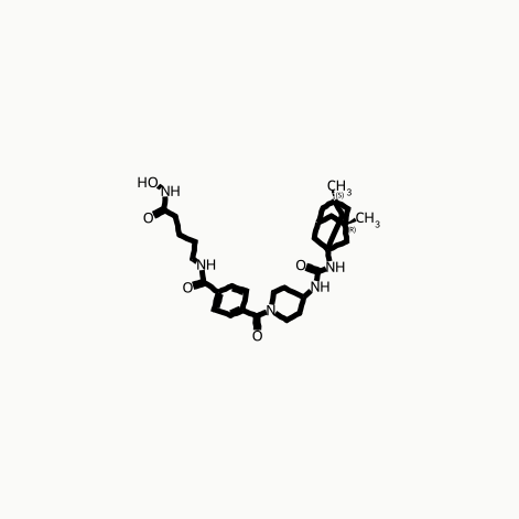 C[C@]12CC3CC(NC(=O)NC4CCN(C(=O)c5ccc(C(=O)NCCCCC(=O)NO)cc5)CC4)(C1)C[C@@](C)(C3)C2